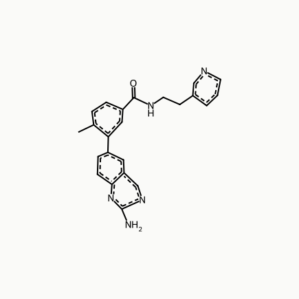 Cc1ccc(C(=O)NCCc2cccnc2)cc1-c1ccc2nc(N)ncc2c1